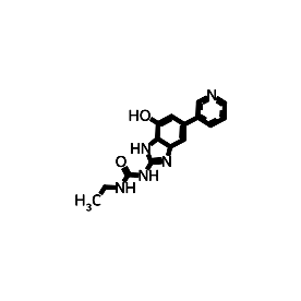 CCNC(=O)NC1=NC2C=C(c3cccnc3)C=C(O)C2N1